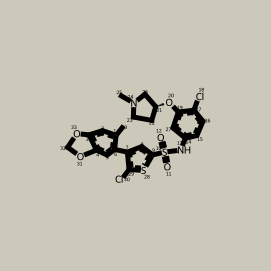 Cc1cc2c(cc1-c1cc(S(=O)(=O)Nc3ccc(Cl)c(O[C@@H]4CCN(C)C4)c3)sc1Cl)OCO2